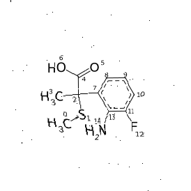 CSC(C)(C(=O)O)c1cccc(F)c1N